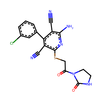 N#Cc1c(N)nc(SCC(=O)N2CCNC2=O)c(C#N)c1-c1cccc(Cl)c1